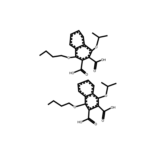 CCCCOc1c(C(=O)O)c(C(=O)O)c(OC(C)C)c2ccccc12.CCCCOc1c(C(=O)O)c(C(=O)O)c(OC(C)C)c2ccccc12